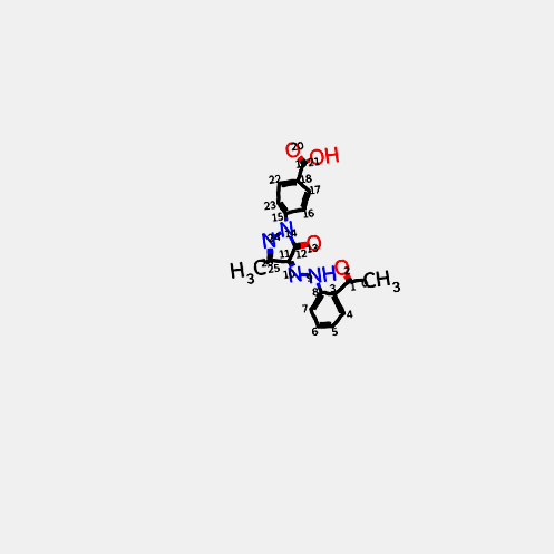 CC(=O)c1ccccc1N/N=C1\C(=O)N(c2ccc(C(=O)O)cc2)N=C1C